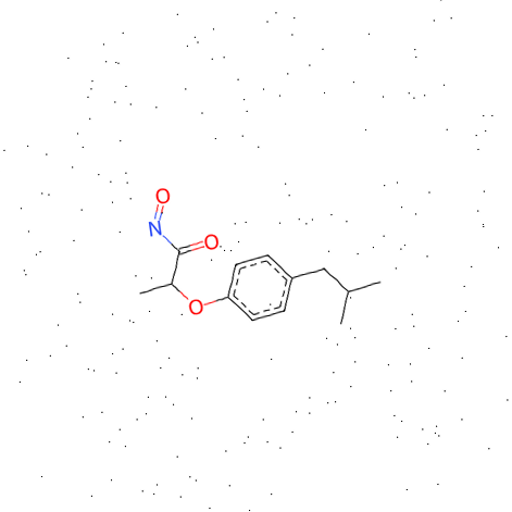 CC(C)Cc1ccc(OC(C)C(=O)N=O)cc1